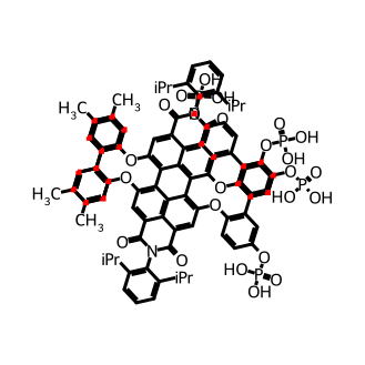 Cc1ccc(-c2cc(C)ccc2Oc2cc3c4c(cc(Oc5ccc(OP(=O)(O)O)cc5-c5ccc(OP(=O)(O)O)cc5)c5c6c(Oc7ccc(OP(=O)(O)O)cc7-c7ccc(OP(=O)(O)O)cc7)cc7c8c(cc(Oc9ccc(C)cc9-c9ccc(C)cc9)c(c2c45)c86)C(=O)N(c2c(C(C)C)cccc2C(C)C)C7=O)C(=O)N(c2c(C(C)C)cccc2C(C)C)C3=O)cc1